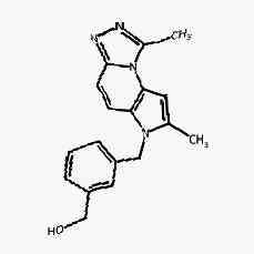 Cc1cc2c(ccc3nnc(C)n32)n1Cc1cccc(CO)c1